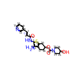 Nc1c(NC(=O)/C=C/c2cccnc2)sc2c1CCC(OC(=O)N1CCC(O)CC1)C2